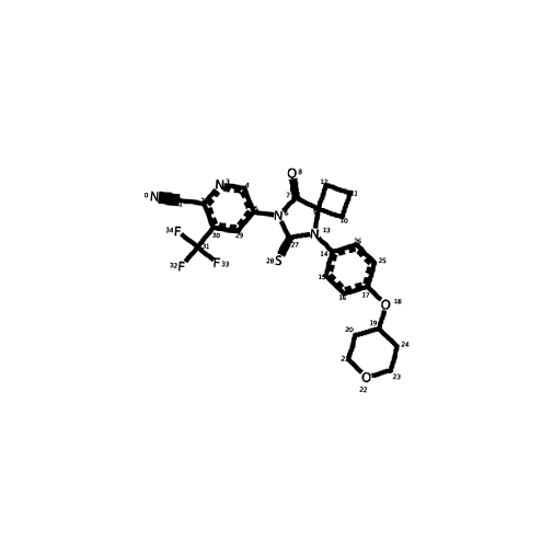 N#Cc1ncc(N2C(=O)C3(CCC3)N(c3ccc(OC4CCOCC4)cc3)C2=S)cc1C(F)(F)F